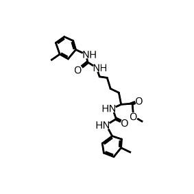 COC(=O)C(CCCCNC(=O)Nc1cccc(C)c1)NC(=O)Nc1cccc(C)c1